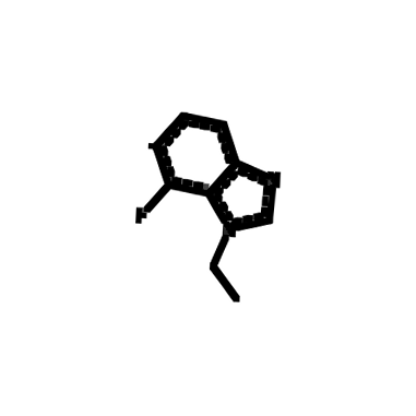 CCn1cnc2cc[c]c(F)c21